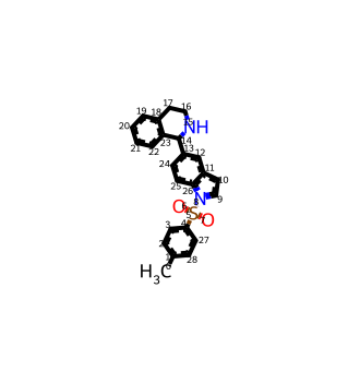 Cc1ccc(S(=O)(=O)n2ccc3cc(C4NCCc5ccccc54)ccc32)cc1